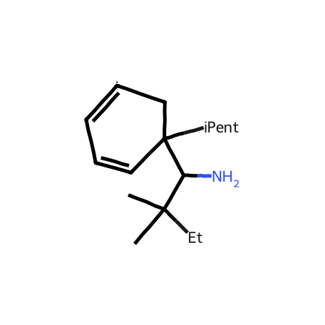 CCCC(C)C1(C(N)C(C)(C)CC)C=CC=[C]C1